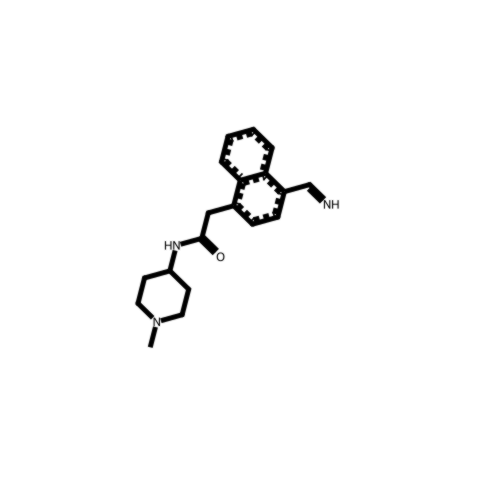 CN1CCC(NC(=O)Cc2ccc(C=N)c3ccccc23)CC1